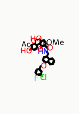 COc1cc(O)c2c(c1C(=O)NCc1ccc(OCc3ccc(F)c(Cl)c3)c3ccccc13)OC1=CC(O)=C(C(C)=O)C(=O)[C@]12C